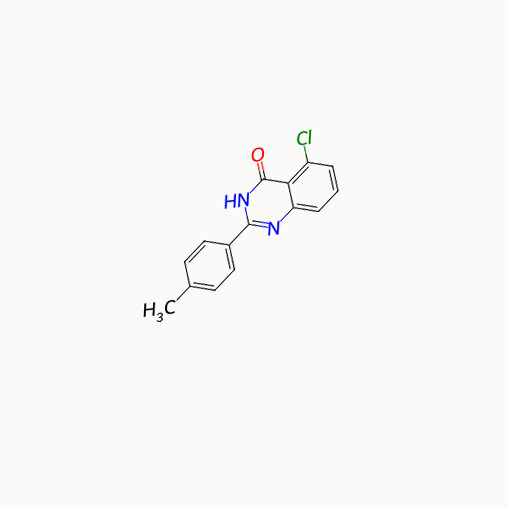 Cc1ccc(-c2nc3cccc(Cl)c3c(=O)[nH]2)cc1